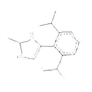 CC1NC=C(c2c(C(C)C)cccc2C(C)C)N1